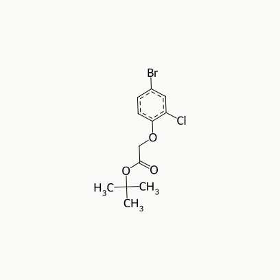 CC(C)(C)OC(=O)COc1ccc(Br)cc1Cl